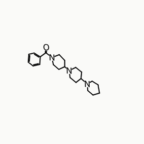 O=C(c1ccccc1)N1CCC(N2CCC(N3CCCCC3)CC2)CC1